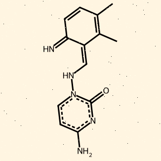 CC1=C(C)/C(=C/Nn2ccc(N)nc2=O)C(=N)C=C1